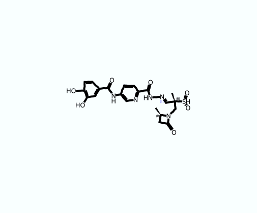 C[C@@H]1CC(=O)N1C[C@](C)(/C=N/NC(=O)c1ccc(NC(=O)c2ccc(O)c(O)c2)cn1)[SH](=O)=O